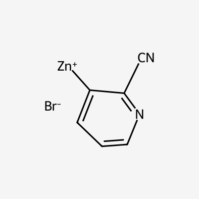 N#Cc1nccc[c]1[Zn+].[Br-]